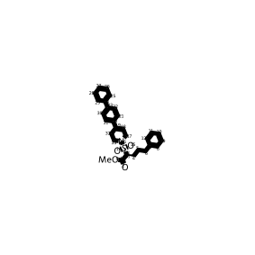 COC(=O)[C@H](CCCc1ccccc1)S(=O)(=O)N1CC=C(c2ccc(-c3ccccc3)cc2)CC1